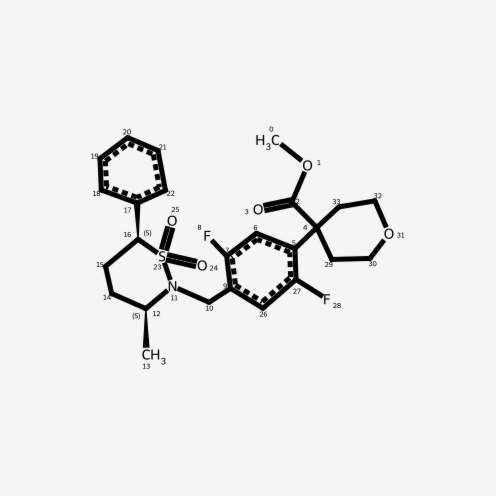 COC(=O)C1(c2cc(F)c(CN3[C@@H](C)CC[C@@H](c4ccccc4)S3(=O)=O)cc2F)CCOCC1